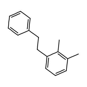 Cc1cccc(CCc2ccccc2)c1C